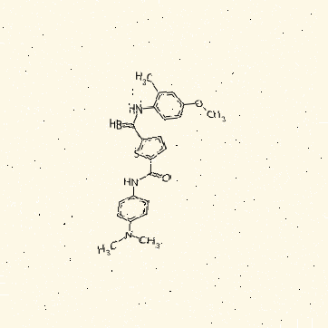 B=C(Nc1ccc(OC)cc1C)c1ccc(C(=O)Nc2ccc(N(C)C)cc2)s1